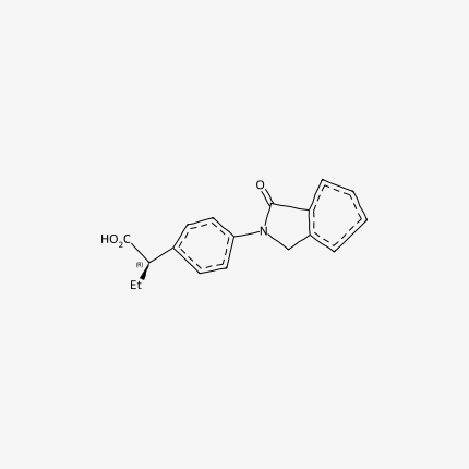 CC[C@@H](C(=O)O)c1ccc(N2Cc3ccccc3C2=O)cc1